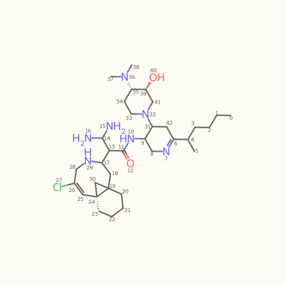 CCCCC(C)C1=NCC(NC(=O)C(C(N)N)C2CC34CCCC[C@]3(/C=C(/Cl)CN2)C4)C(N2CC[C@H](N(C)C)[C@@H](O)C2)C1